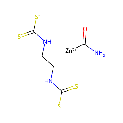 N[C](=O)[Zn+2].S=C([S-])NCCNC(=S)[S-]